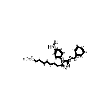 CCCCCCCCCCCCCCCCCc1nnc(SCc2ccccc2)n1-c1ccc(NCC)cc1